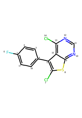 Fc1ccc(-c2c(Cl)sc3ncnc(Cl)c23)cc1